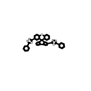 c1ccc(-c2nnc(-c3ccc4c(c3)C3(c5ccccc5O4)c4ccccc4-c4ccc(-c5nnc(-c6ccccc6)o5)cc43)o2)cc1